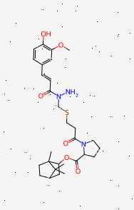 COc1cc(/C=C/C(=O)N(N)CSCCC(=O)N2CCCC2C(=O)OC2CC3CCC2(C)C3(C)C)ccc1O